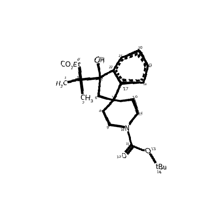 CCOC(=O)C(C)(C)C1(O)CC2(CCN(C(=O)OC(C)(C)C)CC2)c2ccccc21